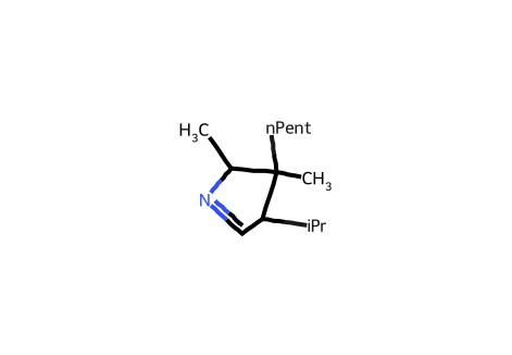 CCCCCC1(C)C(C)N=CC1C(C)C